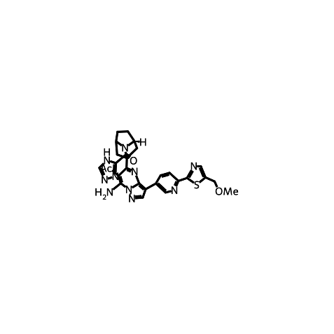 COCc1cnc(-c2ccc(-c3cnn4c(N)c(C(C)=O)c(C5CC6CC[C@H](C5)N6C(=O)c5nnc[nH]5)nc34)cn2)s1